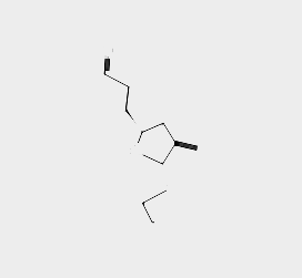 C=C1C[C@H](CCC=O)O[C@H]1CCI